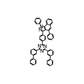 c1ccc(-c2cccc(-c3nc(-c4ccc(-c5nn(-c6ccccc6)c6c5c(-c5ccccc5)cc5ccccc56)cc4)nc(-c4cccc(-c5ccccc5)c4)n3)c2)cc1